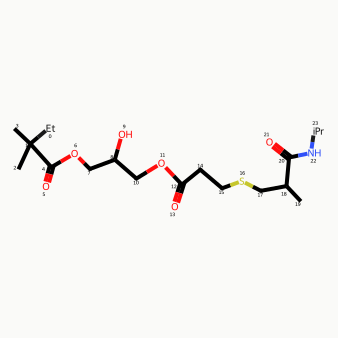 CCC(C)(C)C(=O)OCC(O)COC(=O)CCSCC(C)C(=O)NC(C)C